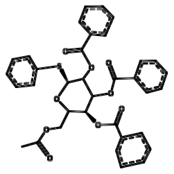 CC(=O)OCC1O[C@@H](Sc2ccccc2)C(OC(=O)c2ccccc2)C(OC(=O)c2ccccc2)[C@H]1OC(=O)c1ccccc1